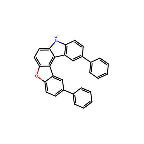 c1ccc(-c2ccc3[nH]c4ccc5oc6ccc(-c7ccccc7)cc6c5c4c3c2)cc1